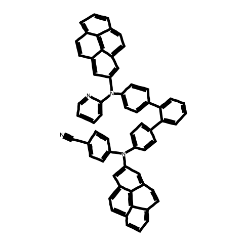 N#Cc1ccc(N(c2ccc(-c3ccccc3-c3ccc(N(c4cc5ccc6cccc7ccc(c4)c5c67)c4ccccn4)cc3)cc2)c2cc3ccc4cccc5ccc(c2)c3c45)cc1